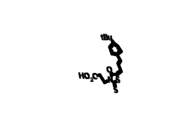 CC(C)(C)c1ccc(C=CC=C2SC(=S)N(CCC(=O)O)C2=O)cc1